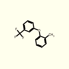 Cc1c[c]ccc1Oc1cccc(C(F)(F)F)c1